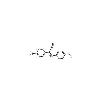 CSc1ccc(NC(C#N)c2ccc(Cl)cc2)cc1